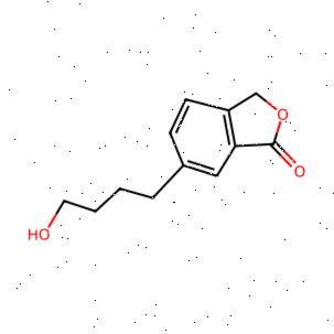 O=C1OCc2ccc(CCCCO)cc21